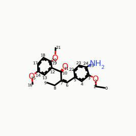 CCOc1cc(C=C(CC)C(=O)c2cc(OC)ccc2OC)ccc1N